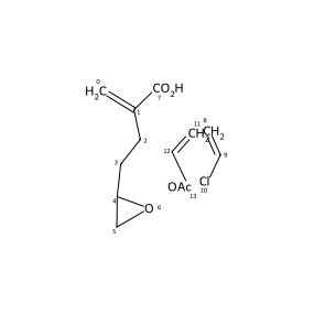 C=C(CCC1CO1)C(=O)O.C=CCl.C=COC(C)=O